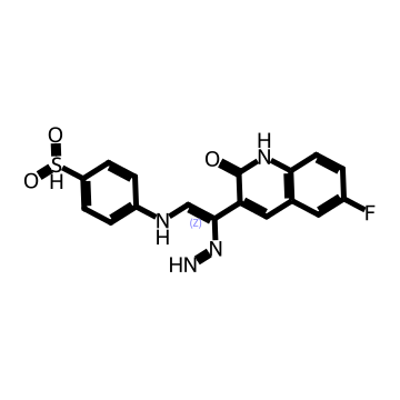 N=N/C(=C\Nc1ccc([SH](=O)=O)cc1)c1cc2cc(F)ccc2[nH]c1=O